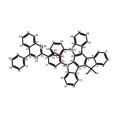 CC1(C)c2ccccc2-c2c1c1c3ccccc3n(-c3ccc(-c4nc(-c5ccccc5)c5ccccc5n4)cc3)c1c1c2c2ccccc2n1-c1ccccc1